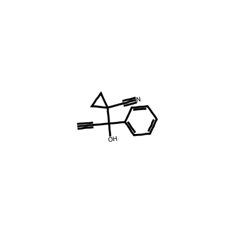 C#CC(O)(c1ccccc1)C1(C#N)CC1